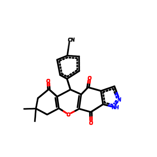 CC1(C)CC(=O)C2=C(C1)OC1=C(C(=O)c3cn[nH]c3C1=O)C2c1ccc(C#N)cc1